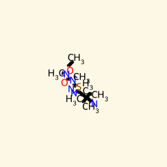 CCCON(C)C(=O)N(C)c1nnc(C(C)(C)C(C#N)(CC)CC)s1